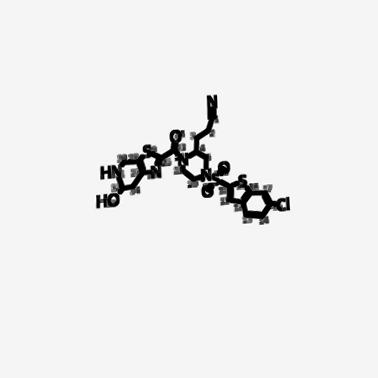 N#CCCC1CN(S(=O)(=O)c2cc3ccc(Cl)cc3s2)CCN1C(=O)c1nc2c(s1)CNC(O)C2